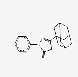 O=C1CC(C23CC4CC(CC(C4)C2)C3)=NN1c1ccccn1